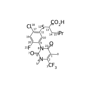 Cc1c(C(F)(F)F)n(C)c(=O)n(-c2cc(SC(CC(C)C)C(=O)O)c(Cl)cc2F)c1=O